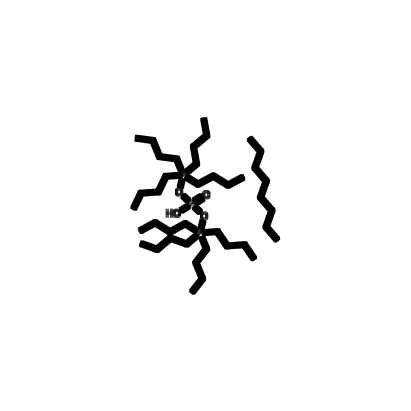 CCCCCCCC.CCCCP(CCCC)(CCCC)(CCCC)OP(=O)(O)OP(CCCC)(CCCC)(CCCC)CCCC